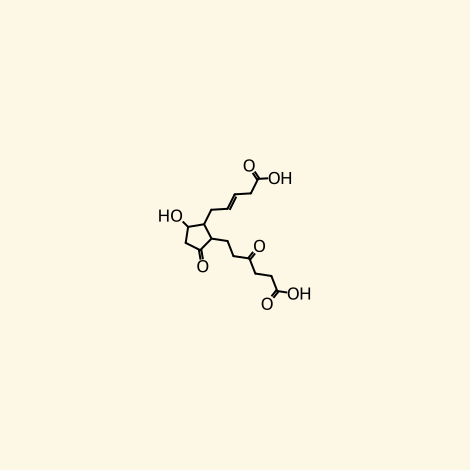 O=C(O)CC=CCC1C(O)CC(=O)C1CCC(=O)CCC(=O)O